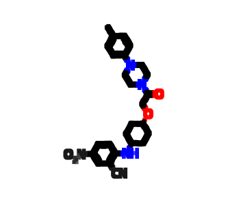 Cc1ccc(N2CCN(C(=O)CO[C@H]3CC[C@H](Nc4ccc([N+](=O)[O-])cc4C#N)CC3)CC2)cc1